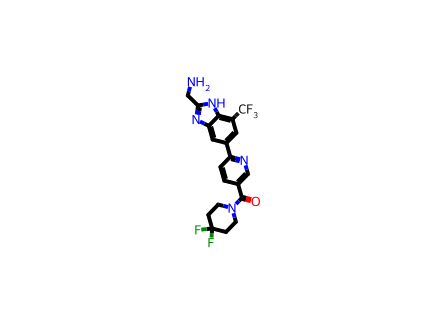 NCc1nc2cc(-c3ccc(C(=O)N4CCC(F)(F)CC4)cn3)cc(C(F)(F)F)c2[nH]1